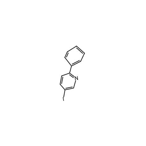 Ic1ccc(-c2ccccc2)nc1